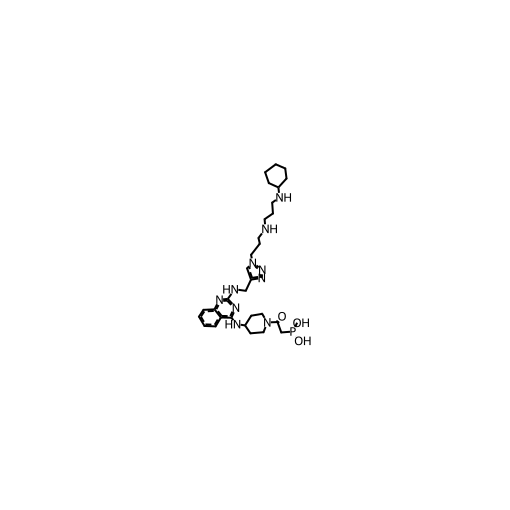 O=C(CP(O)O)N1CCC(Nc2nc(NCc3cn(CCCNCCCNC4CCCCC4)nn3)nc3ccccc23)CC1